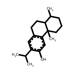 CC(C)c1cc2c(cc1O)C1(C)CCCC(C)C1CC2